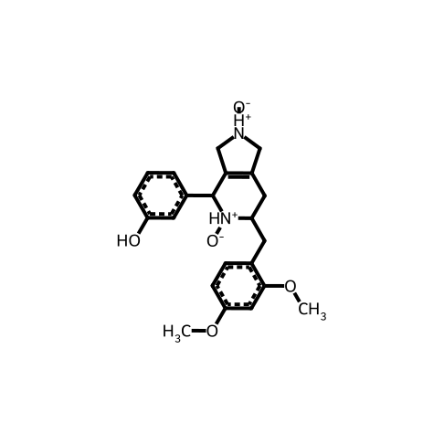 COc1ccc(CC2CC3=C(C[NH+]([O-])C3)C(c3cccc(O)c3)[NH+]2[O-])c(OC)c1